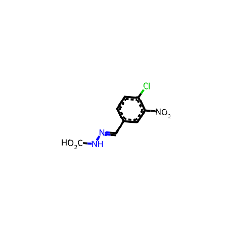 O=C(O)NN=Cc1ccc(Cl)c([N+](=O)[O-])c1